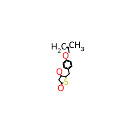 C=C(C)COc1ccc(CC2SC(=O)CC2=O)cc1